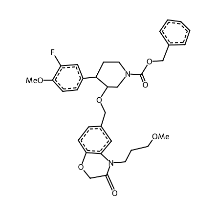 COCCCN1C(=O)COc2ccc(COC3CN(C(=O)OCc4ccccc4)CCC3c3ccc(OC)c(F)c3)cc21